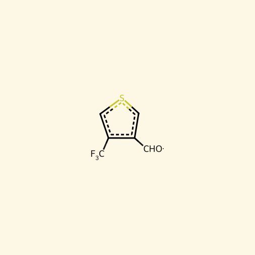 O=[C]c1cscc1C(F)(F)F